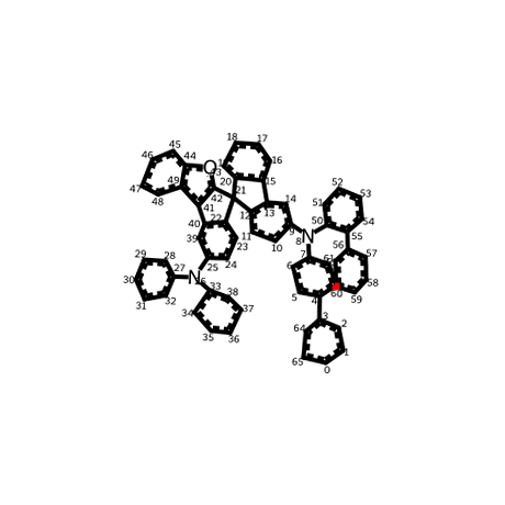 c1ccc(-c2ccc(N(c3ccc4c(c3)-c3ccccc3C43c4ccc(N(c5ccccc5)c5ccccc5)cc4-c4c3oc3ccccc43)c3ccccc3-c3ccccc3)cc2)cc1